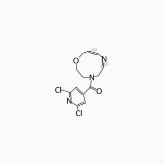 O=C(c1cc(Cl)nc(Cl)c1)N1C/C=N\C=C/COCC1